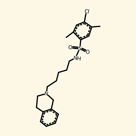 Cc1cc(S(=O)(=O)NCCCCCN2CCc3ccccc3C2)c(C)cc1Cl